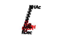 CCCCCCCCCCCC(=O)O[C@@H](COCOCCCCCCCCCCNC(C)=O)COP(=O)(O)O